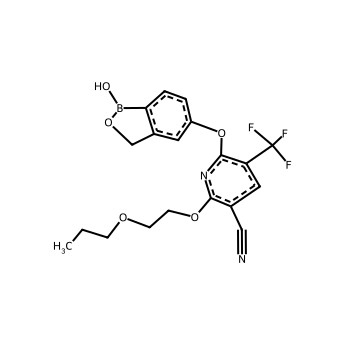 CCCOCCOc1nc(Oc2ccc3c(c2)COB3O)c(C(F)(F)F)cc1C#N